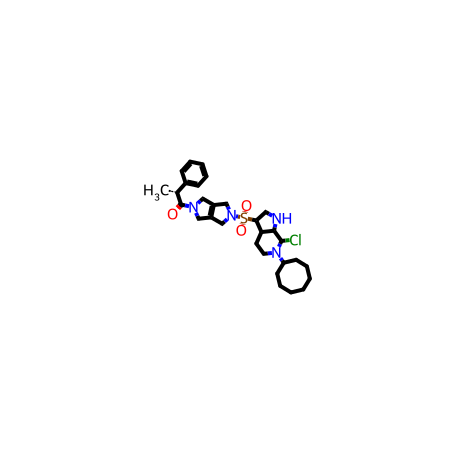 C[C@@H](C(=O)N1CC2=C(C1)CN(S(=O)(=O)C1CNC3C1CCN(C1CCCCCCC1)C3Cl)C2)c1ccccc1